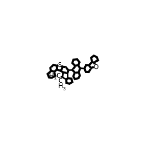 CC1(C)c2ccccc2-c2c(-c3c4ccccc4c(-c4ccc5oc6ccccc6c5c4)c4ccccc34)cc3sc4ccc5ccccc5c4c3c21